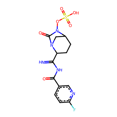 N=C(NC(=O)c1ccc(F)nc1)C1CCC2CN1C(=O)N2OS(=O)(=O)O